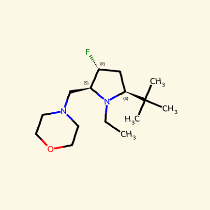 CCN1[C@H](C(C)(C)C)C[C@@H](F)[C@@H]1CN1CCOCC1